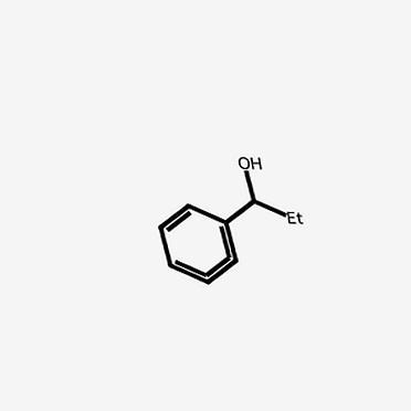 CCC(O)C1=C=C=CC=C1